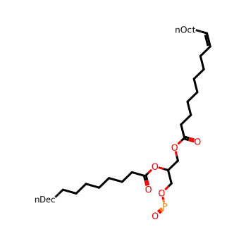 CCCCCCCC/C=C\CCCCCCCC(=O)OCC(COP=O)OC(=O)CCCCCCCCCCCCCCCCC